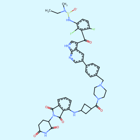 CCN(C)[S+]([O-])Nc1ccc(F)c(C(=O)c2c[nH]c3ncc(-c4ccc(CN5CCN(C(=O)C6CC(Nc7cccc8c7C(=O)N(C7CCC(=O)NC7=O)C8=O)C6)CC5)cc4)cc23)c1F